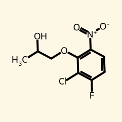 CC(O)COc1c([N+](=O)[O-])ccc(F)c1Cl